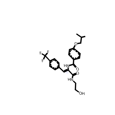 CC(C)COc1ccc(C(=O)N/C(=C\c2ccc(C(F)(F)F)cc2)C(=O)NCCO)cc1